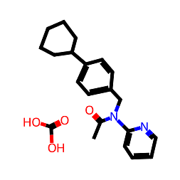 CC(=O)N(Cc1ccc(C2CCCCC2)cc1)c1ccccn1.O=C(O)O